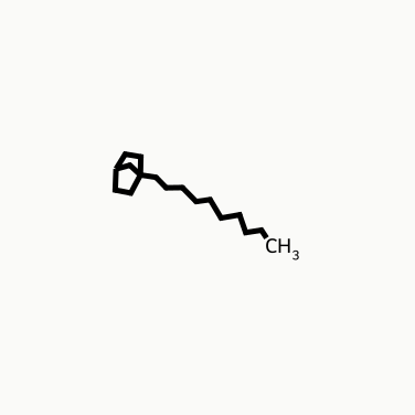 CCCCCCCCCCC12CCC(CC1)C2